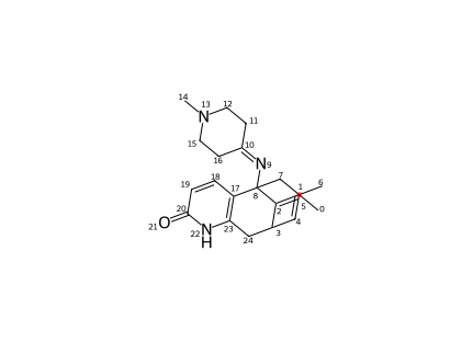 C/C=C1\C2C=C(C)CC1(N=C1CCN(C)CC1)c1ccc(=O)[nH]c1C2